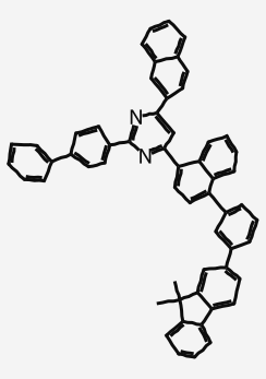 CC1(C)c2ccccc2-c2ccc(-c3cccc(-c4ccc(-c5cc(-c6ccc7ccccc7c6)nc(-c6ccc(-c7ccccc7)cc6)n5)c5ccccc45)c3)cc21